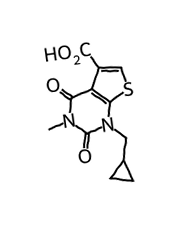 Cn1c(=O)c2c(C(=O)O)csc2n(CC2CC2)c1=O